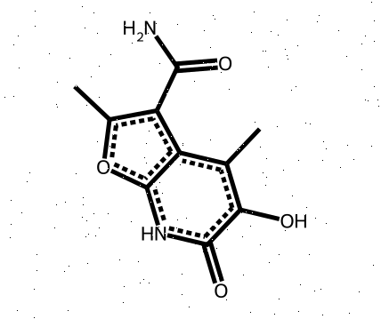 Cc1oc2[nH]c(=O)c(O)c(C)c2c1C(N)=O